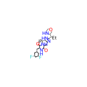 CCC(c1nc(/C=c2\[nH]c(=O)/c(=C/c3cc(F)cc(F)c3)[nH]c2=O)c(C(C)C)[nH]1)C1COCCN1